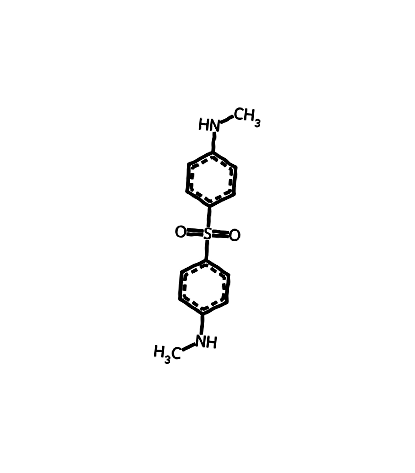 CNc1ccc(S(=O)(=O)c2ccc(NC)cc2)cc1